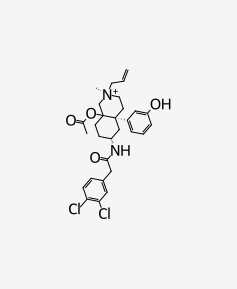 C=CC[N@@+]1(C)CC[C@@]2(c3cccc(O)c3)C[C@H](NC(=O)Cc3ccc(Cl)c(Cl)c3)CCC2(OC(C)=O)C1